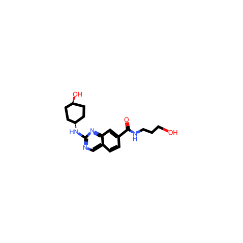 O=C(NCCCO)c1ccc2cnc(N[C@H]3CC[C@H](O)CC3)nc2c1